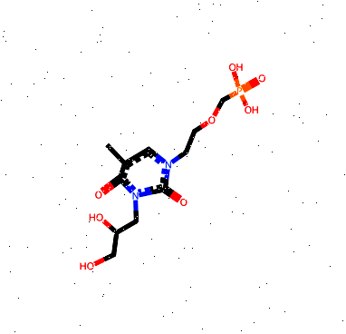 Cc1cn(CCOCP(=O)(O)O)c(=O)n(CC(O)CO)c1=O